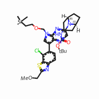 COCc1nc2ccc(-c3cn(COCC[Si](C)(C)C)c4nc(N5[C@@H]6CC[C@H]5C[C@@H](NC(=O)OC(C)(C)C)C6)cnc34)c(Cl)c2s1